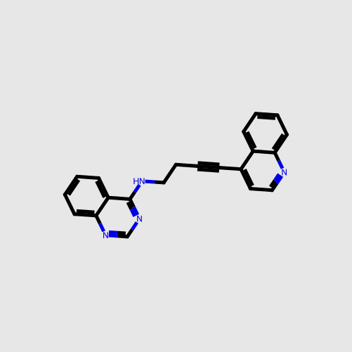 C(#Cc1ccnc2ccccc12)CCNc1ncnc2ccccc12